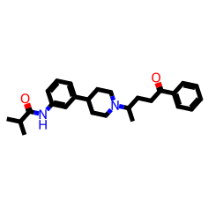 CC(C)C(=O)Nc1cccc(C2CCN(C(C)CCC(=O)c3ccccc3)CC2)c1